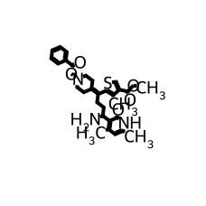 COC(=O)c1csc(C(CCC(N)c2c(C)cc(C)[nH]c2=O)=C2CCN(OC(=O)c3ccccc3)CC2)c1C